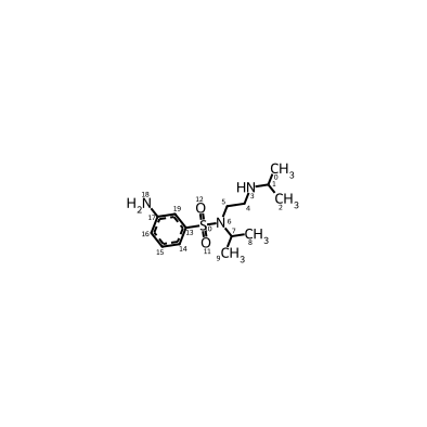 CC(C)NCCN(C(C)C)S(=O)(=O)c1cccc(N)c1